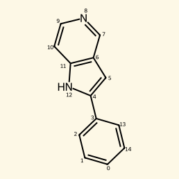 c1ccc(-c2cc3cnccc3[nH]2)cc1